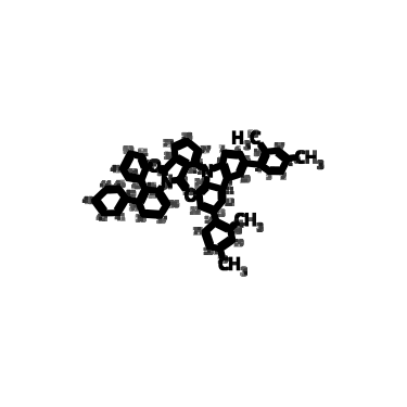 Cc1ccc(-c2ccc3c(c2)c2cc(-c4ccc(C)cc4C)ccc2n3-c2cccc3c2C(=O)N(c2cccc(-c4ccccc4)c2-c2ccccc2)C3=O)c(C)c1